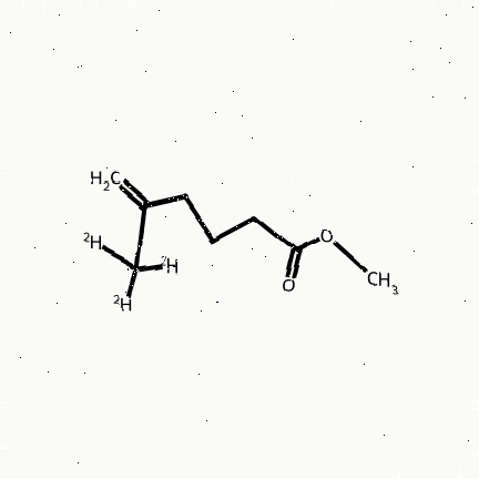 [2H]C([2H])([2H])C(=C)CCCC(=O)OC